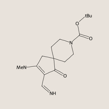 CNC1=C(C=N)C(=O)C2(CCN(C(=O)OC(C)(C)C)CC2)C1